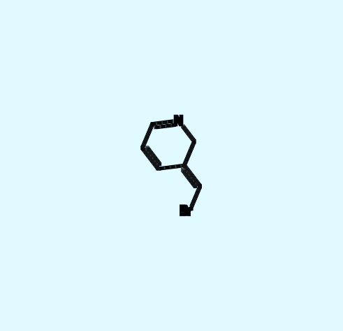 BrC=C1C=CC=NC1